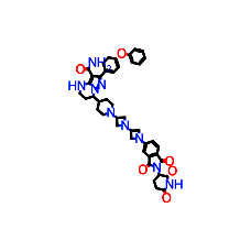 NC(=O)c1c(C2=CC=C(Oc3ccccc3)CC2)nn2c1NCCC2C1CCN(C2CN(C3CN(c4ccc5c(c4)C(=O)N(C4CCC(=O)NC4=O)C5=O)C3)C2)CC1